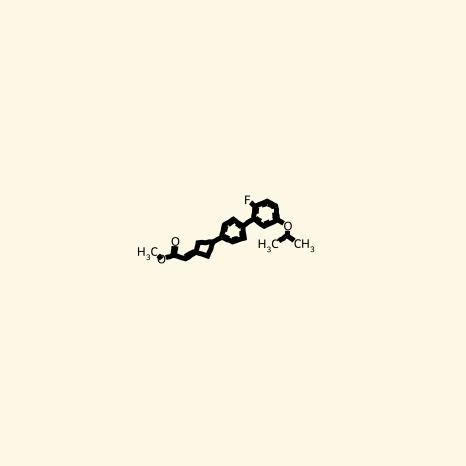 COC(=O)C=C1CC(c2ccc(-c3cc(OC(C)C)ccc3F)cc2)C1